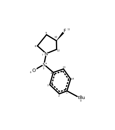 CC(C)(C)c1ccc([S+]([O-])N2CC[C@@H](F)C2)cc1